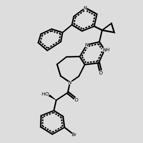 O=C([C@H](O)c1cccc(Br)c1)N1CCCc2nc(C3(c4cncc(-c5ccccc5)c4)CC3)[nH]c(=O)c2C1